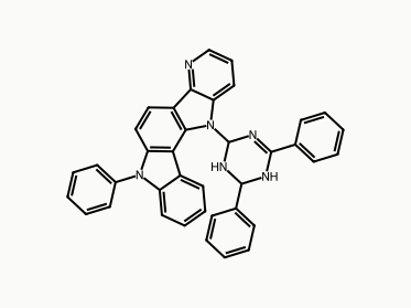 c1ccc(C2=NC(n3c4cccnc4c4ccc5c(c6ccccc6n5-c5ccccc5)c43)NC(c3ccccc3)N2)cc1